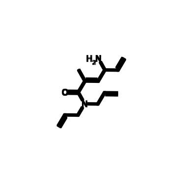 C=CCN(CC=C)C(=O)C(C)=CC(N)C=C